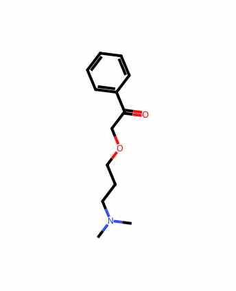 CN(C)CCCOCC(=O)c1ccccc1